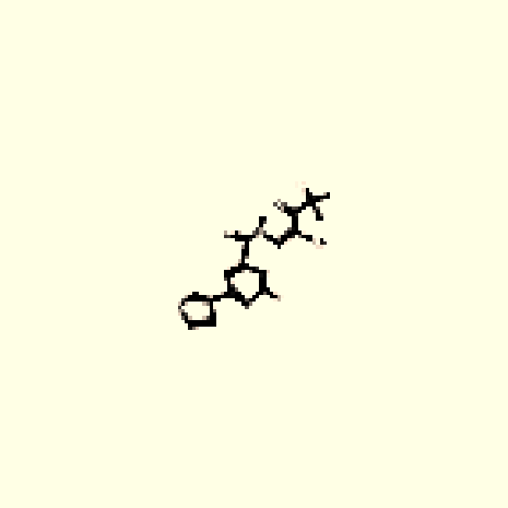 CCC(C)(C)C(=O)/C(C#N)=C\N(C)C(=O)c1cc(F)cc(-c2ccsc2)c1